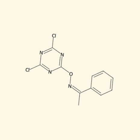 CC(=NOc1nc(Cl)nc(Cl)n1)c1ccccc1